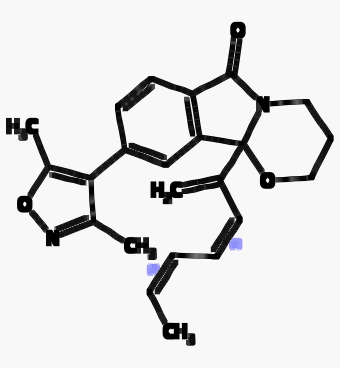 C=C(/C=C\C=C/C)C12OCCCN1C(=O)c1ccc(-c3c(C)noc3C)cc12